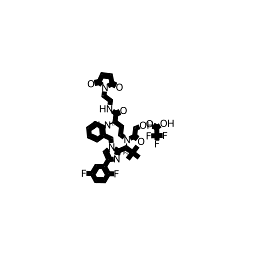 CC(C)(C)[C@H](c1nc(-c2cc(F)ccc2F)cn1Cc1ccccc1)N(CC[C@H](N)C(=O)NCCN1C(=O)C=CC1=O)C(=O)CO.O=C(O)C(F)(F)F